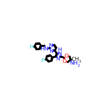 CC1(N)COC(c2nc(-c3ccc(F)cc3)c(-c3ccnc(NCc4ccc(F)cc4)n3)[nH]2)OC1